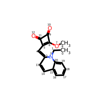 CCN1C(=Cc2c(OC)c(=O)c2=O)C=Cc2ccccc21